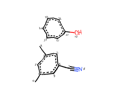 Cc1cc(C)cc(C#N)c1.Oc1ccccc1